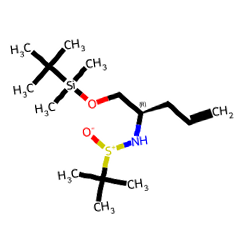 C=CC[C@H](CO[Si](C)(C)C(C)(C)C)N[S+]([O-])C(C)(C)C